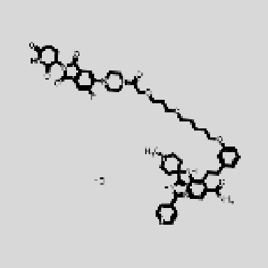 CN1CCC(Nc2cccc(C(N)=O)c2CCc2cccc(OCCCCCOCCCOCC(=O)N3CCN(c4cc5c(cc4F)C(=O)N(C4CCC(=O)NC4=O)C5=O)CC3)c2)(c2nnc(-c3ccncc3)[nH]2)CC1.Cl